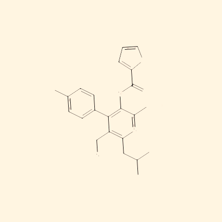 Cc1ccc(-c2c(CN)c(CC(C)C)nc(C)c2NC(=O)c2cccs2)cc1.Cl.Cl